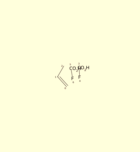 C=CC.O=C(O)F.O=C(O)F